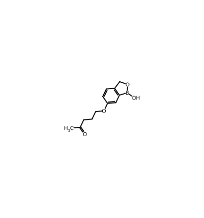 CC(=O)CCCOc1ccc2c(c1)B(O)OC2